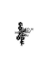 CC[C@H](C)[C@@H](C(=O)N[C@@H](Cc1ccccc1)[C@@H](O)CN(Cc1ccc(-c2ccccn2)cc1)NC(=O)[C@@H](NC(=O)O)C(C)(C)C)N1CCN(Cc2csc(C)n2)C1=O